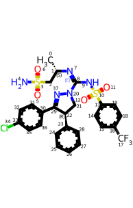 C[C@@H](CS(N)(=O)=O)/N=C(/NS(=O)(=O)c1ccc(C(F)(F)F)cc1)N1C[C@@H](c2ccccc2)C(c2ccc(Cl)cc2)=N1